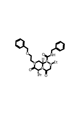 CCN1CC(=O)N2[C@@H](C(C)C)C(=O)N(CCOCc3ccccc3)C[C@@H]2N1C(=O)NCc1ccccc1